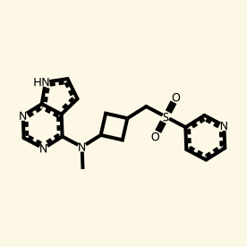 CN(c1ncnc2[nH]ccc12)C1CC(CS(=O)(=O)c2cccnc2)C1